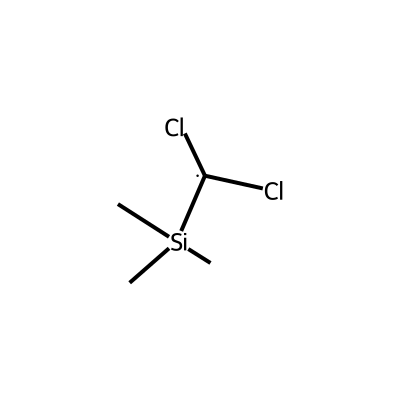 C[Si](C)(C)[C](Cl)Cl